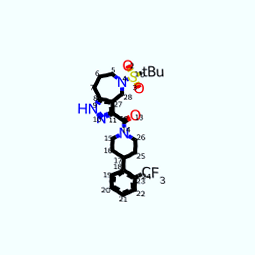 CC(C)(C)S(=O)(=O)N1CCCc2[nH]nc(C(=O)N3CCC(c4ccccc4C(F)(F)F)CC3)c2C1